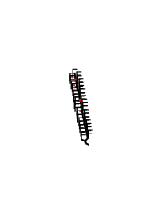 CCC(C)CC(F)(F)C(F)(F)C(F)(F)C(F)(F)C(F)(F)C(F)(F)C(F)(F)C(F)(F)C(F)(F)C(F)(F)C(F)(F)C(F)(F)C(F)(F)C(F)(F)C(F)(F)C(F)(F)C(F)(F)C(F)(F)F